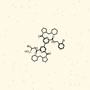 CCC(C)C(NC(=O)c1cc(-c2cc(C(=O)NCc3ccccc3Br)nc(C(=O)N3CCCC3CN3CCCCC3)c2)cc(C(=O)N2CCCC2CN2CCCCC2)n1)C(=O)O